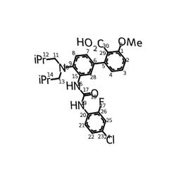 COc1cccc(-c2ccc(N(CC(C)C)CC(C)C)c(NC(=O)Nc3ccc(Cl)cc3F)c2)c1C(=O)O